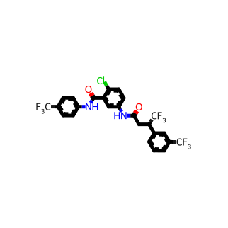 O=C(CC(c1cccc(C(F)(F)F)c1)C(F)(F)F)Nc1ccc(Cl)c(C(=O)Nc2ccc(C(F)(F)F)cc2)c1